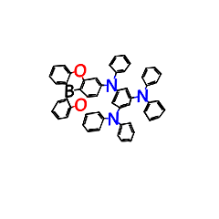 c1ccc(N(c2ccccc2)c2cc(N(c3ccccc3)c3ccccc3)cc(N(c3ccccc3)c3cc4c5c(c3)Oc3ccccc3B5c3ccccc3O4)c2)cc1